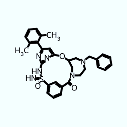 Cc1cccc(C)c1-c1cc2nc(n1)NS(=N)(=O)c1cccc(c1)C(=O)N1CCN(Cc3ccccc3)CC(C1)O2